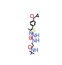 Cc1nc(NC(=O)NCCC(=O)NC(C)(C)C)sc1-c1ccc(C(=O)C2CC2)cc1